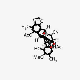 COc1c(C)cc2c(c1O)[C@H]1N[C@@H](C2)[C@H](C#N)N2C1[C@@H]1SCC(NC(C)=O)C(=O)OC[C@H]2c2c3c(c(C)c(OC(C)=O)c21)OCO3